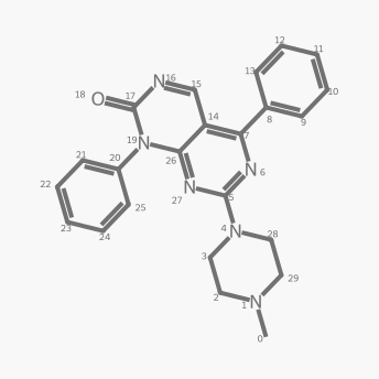 CN1CCN(c2nc(-c3ccccc3)c3cnc(=O)n(-c4ccccc4)c3n2)CC1